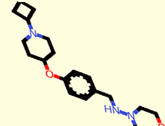 c1cc(OC2CCN(C3CCC3)CC2)ccc1CNN1CCOCC1